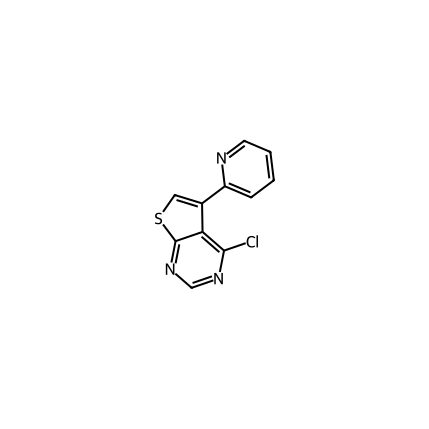 Clc1ncnc2scc(-c3ccccn3)c12